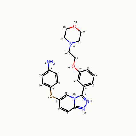 Nc1ccc(Sc2ccc3nnc(-c4cccc(OCCN5CCOCC5)c4)n3c2)cc1